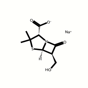 CC1(C)S[C@@H]2[C@H](CO)C(=O)N2[C@H]1C(=O)[O-].[Na+]